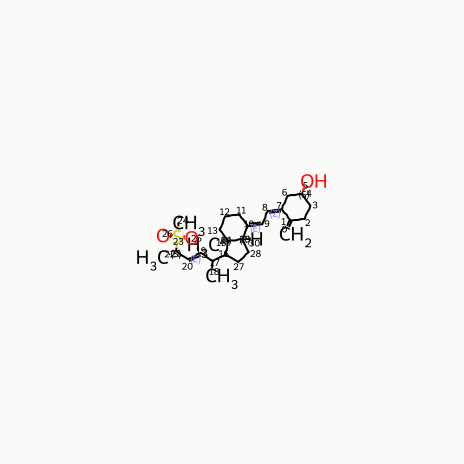 C=C1CC[C@H](O)C/C1=C/C=C1\CCC[C@]2(C)C(C(C)/C=C/[C@H](C)S(C)(=O)=O)CC[C@@H]12